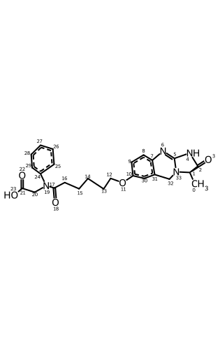 CC1C(=O)NC2=Nc3ccc(OCCCCCC(=O)N(CC(=O)O)c4ccccc4)cc3CN21